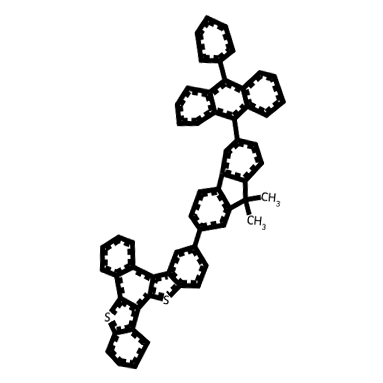 CC1(C)c2ccc(-c3c4ccccc4c(-c4ccccc4)c4ccccc34)cc2-c2ccc(-c3ccc4sc5c(c4c3)c3ccccc3c3sc4ccccc4c35)cc21